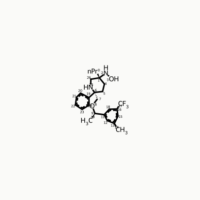 CCC[C@@]1(NO)CC[C@@](CO[C@H](C)c2cc(C)cc(C(F)(F)F)c2)(c2ccccc2)NC1